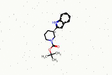 CC(C)(C)OC(=O)N1CCC[C@@H](c2cc3ccccc3[nH]2)C1